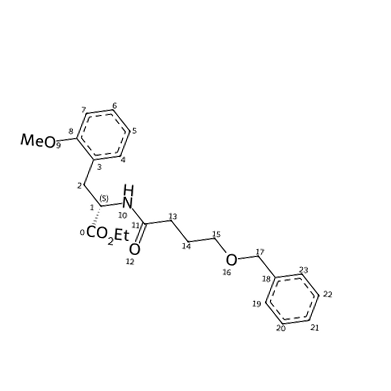 CCOC(=O)[C@H](Cc1ccccc1OC)NC(=O)CCCOCc1ccccc1